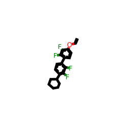 C=COc1ccc(-c2ccc(C3CCCCC3)c(F)c2F)c(F)c1F